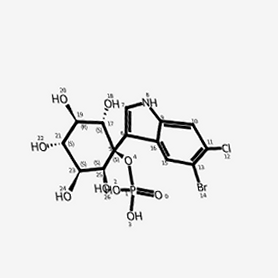 O=P(O)(O)O[C@]1(c2c[nH]c3cc(Cl)c(Br)cc23)[C@@H](O)[C@H](O)[C@@H](O)[C@H](O)[C@@H]1O